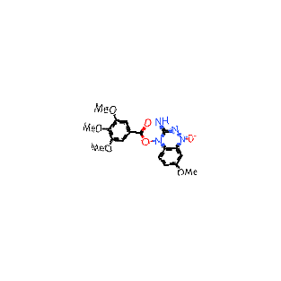 COc1ccc2c(c1)[n+]([O-])nc(=N)n2OC(=O)c1cc(OC)c(OC)c(OC)c1